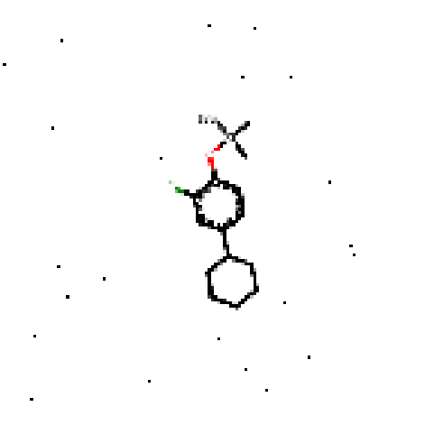 CC(C)(C)[Si](C)(C)Oc1ccc(C2CC[CH]CC2)cc1F